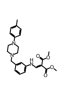 COC(=O)C(=CNc1cccc(CN2CCN(c3ccc(C)cc3)CC2)c1)C(=O)OC